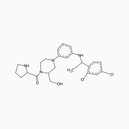 CC(Nc1cccc(N2CCN(C(=O)C3CCCN3)C(CO)C2)c1)c1ccc(Cl)cc1Cl